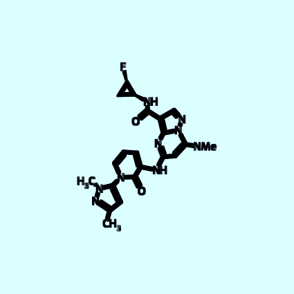 CNc1cc(Nc2cccn(-c3cc(C)nn3C)c2=O)nc2c(C(=O)N[C@H]3C[C@H]3F)cnn12